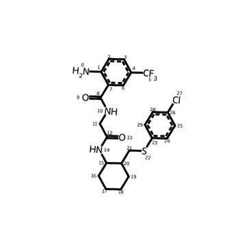 Nc1ccc(C(F)(F)F)cc1C(=O)NCC(=O)NC1CCCCC1CSc1ccc(Cl)cc1